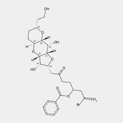 C=C(Br)CC(CCC(=O)C[C@H]1O[C@H]2[C@@H](O)[C@H]3O[C@@H](CCO)CC[C@@H]3O[C@H]2[C@H]1O)OC(=O)c1ccccc1